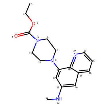 CCOC(=O)N1CCN(c2cc(NC)cc3cccnc23)CC1